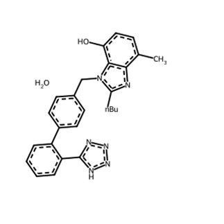 CCCCc1nc2c(C)ccc(O)c2n1Cc1ccc(-c2ccccc2-c2nnn[nH]2)cc1.O